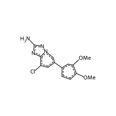 COc1ccc(-c2cc(Cl)c3nc(N)nn3c2)cc1OC